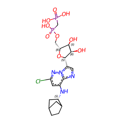 O=P(O)(O)CP(=O)(O)OC[C@H]1O[C@@H](c2cnc3c(N[C@H]4CC5CCC4C5)cc(Cl)nn23)[C@H](O)[C@@H]1O